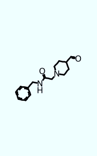 O=CC1CCN(CC(=O)NCc2ccccc2)CC1